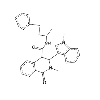 CC(CCc1ccccc1)NC(=O)C1c2ccccc2C(=O)N(C)C1c1cn(C)c2ccccc12